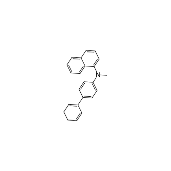 CN(c1ccc(C2=CCCC=C2)cc1)c1cccc2ccccc12